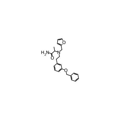 CC(C(N)=O)N(CCc1cccc(OCc2ccccc2)c1)Cc1ccco1